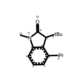 CC(C)c1cccc2c1C(C(C)(C)C)C(=O)N2C